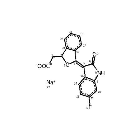 O=C([O-])CC1O/C(=C2/C(=O)Nc3cc(F)ccc32)c2ccccc21.[Na+]